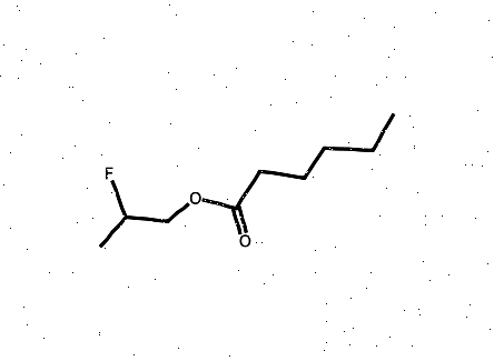 CCCCCC(=O)OCC(C)F